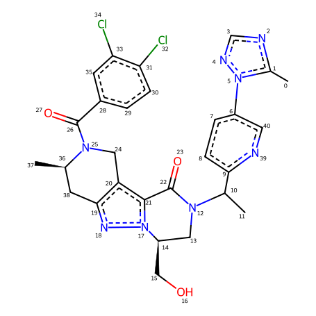 Cc1ncnn1-c1ccc(C(C)N2C[C@@H](CO)n3nc4c(c3C2=O)CN(C(=O)c2ccc(Cl)c(Cl)c2)[C@H](C)C4)nc1